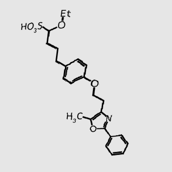 CCOC(CCCc1ccc(OCCc2nc(-c3ccccc3)oc2C)cc1)S(=O)(=O)O